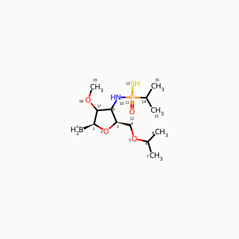 B[C@@H]1O[C@H](COC(C)C)C(NP(=O)(S)C(C)C)C1OC